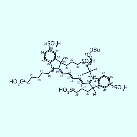 CC(C)(C)OCCC(C)(C)[N+]1=C(/C=C/C=C/C=C2/N(CCCCCC(=O)O)c3ccc(S(=O)(=O)O)cc3C2(C)CCCS(=O)(=O)O)C(C)(CCCS(=O)(=O)O)c2cc(S(=O)(=O)O)ccc21